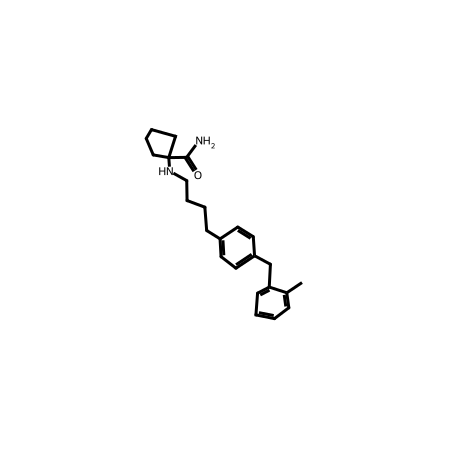 Cc1ccccc1Cc1ccc(CCCCNC2(C(N)=O)CCCC2)cc1